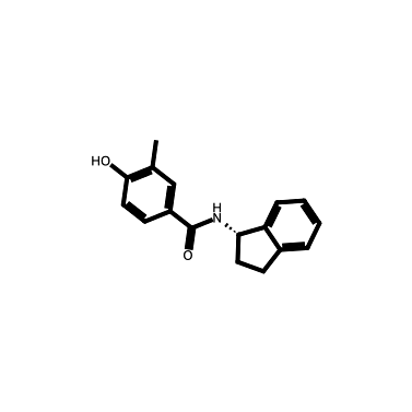 Cc1cc(C(=O)N[C@H]2CCc3ccccc32)ccc1O